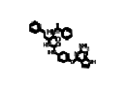 C[C@H](NC(=O)C(CCc1ccccc1)NC(=O)Nc1ccc(Oc2nc(N)nc3[nH]ccc23)cc1)c1ccccc1